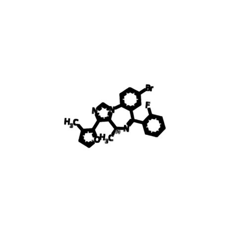 Cc1ccoc1-c1ncn2c1[C@H](C)N=C(c1ccccc1F)c1cc(Br)ccc1-2